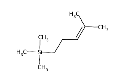 CC(C)=CCC[Si](C)(C)C